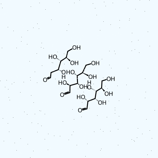 O=CC[C@@H](O)[C@H](O)[C@H](O)CO.O=C[C@@H](O)[C@@H](O)[C@H](O)[C@H](O)CO.O=C[C@H](O)[C@@H](O)[C@H](O)[C@H](O)CO